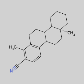 Cc1c(C#N)ccc2c1CCC1C2CC[C@]2(C)CCCCC12